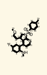 CNc1ccc(F)cc1-c1ccnc2c1c(/C=C\OC)cn2S(=O)(=O)c1ccc(C)cc1